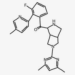 Cc1ccc(-c2c(F)cccc2C(=O)C2NCC3CN(c4nc(C)cc(C)n4)CC32)nc1